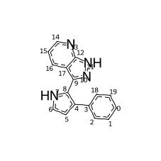 c1ccc(-c2cc[nH]c2-c2n[nH]c3ncccc23)cc1